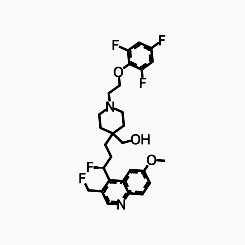 COc1ccc2ncc(CF)c([C@@H](F)CCC3(CO)CCN(CCOc4c(F)cc(F)cc4F)CC3)c2c1